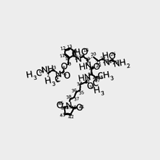 CNCCN(C)C(=O)OCc1ccccc1NC(=O)[C@H](CCCNC(N)=O)NC(=O)[C@@H](NC(=O)CCCCCN1C(=O)C=CC1=O)C(C)C